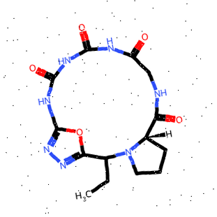 CCC1c2nnc(o2)NC(=O)NC(=O)NC(=O)CNC(=O)[C@@H]2CCCN12